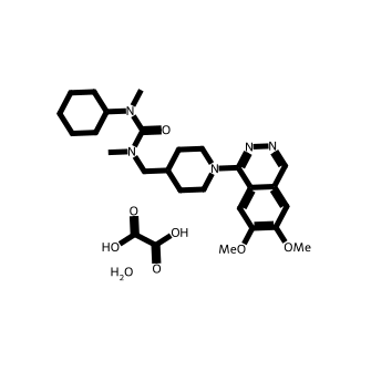 COc1cc2cnnc(N3CCC(CN(C)C(=O)N(C)C4CCCCC4)CC3)c2cc1OC.O.O=C(O)C(=O)O